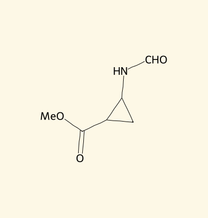 COC(=O)C1CC1NC=O